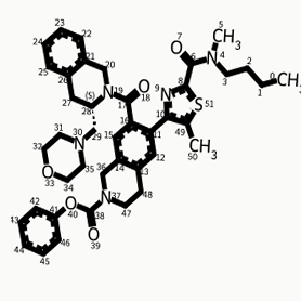 CCCCN(C)C(=O)c1nc(-c2cc3c(cc2C(=O)N2Cc4ccccc4C[C@H]2CN2CCOCC2)CN(C(=O)Oc2ccccc2)CC3)c(C)s1